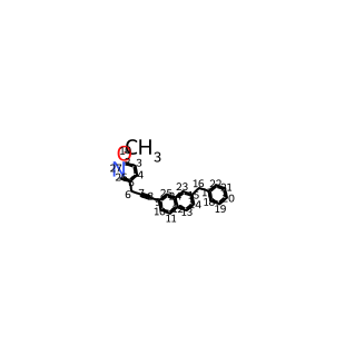 COc1ccc(CC#Cc2ccc3ccc(Cc4ccccc4)cc3c2)cn1